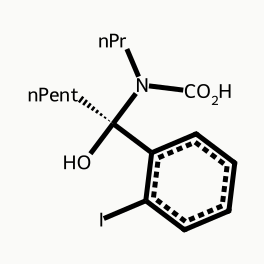 CCCCC[C@@](O)(c1ccccc1I)N(CCC)C(=O)O